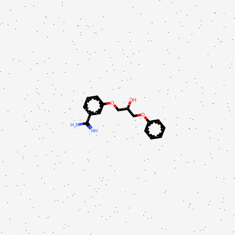 N=C(N)c1cccc(OCC(O)COc2ccccc2)c1